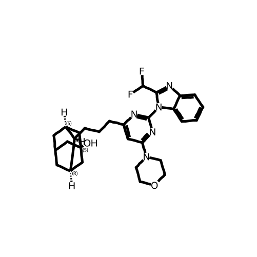 O[C@]12CC3C[C@H](C1)[C@@H](CCCc1cc(N4CCOCC4)nc(-n4c(C(F)F)nc5ccccc54)n1)[C@@H](C3)C2